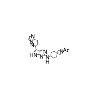 CC(=O)N1CC2(CCC(Nc3ncc4c(-c5ccc6nccn6n5)c[nH]c4n3)CC2)C1